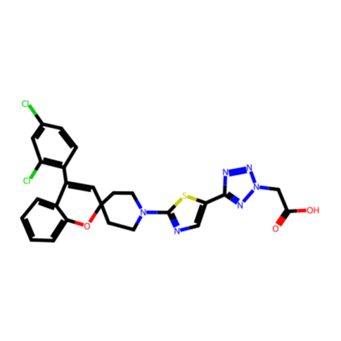 O=C(O)Cn1nnc(-c2cnc(N3CCC4(C=C(c5ccc(Cl)cc5Cl)c5ccccc5O4)CC3)s2)n1